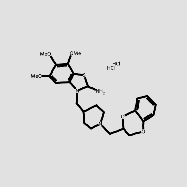 COc1cc2c(c(OC)c1OC)SC(N)N2CC1CCN(CC2COc3ccccc3O2)CC1.Cl.Cl